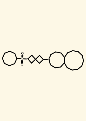 O=S(=O)(C1CCCCCCC1)N1CC2(CC(N3CCCC4CCCCCCCCCC4CCC3)C2)C1